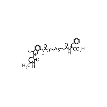 C=C1CCC(N2Cc3c(NC(=O)OCCSSCCC(=O)N[C@@H](Cc4ccccc4)C(=O)O)cccc3C2=O)C(=O)N1